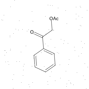 CC(=O)O[CH]C(=O)c1ccccc1